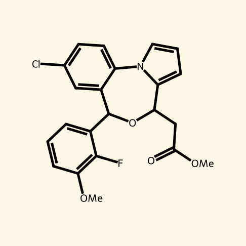 COC(=O)CC1OC(c2cccc(OC)c2F)c2cc(Cl)ccc2-n2cccc21